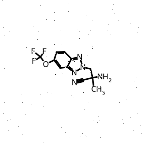 CC(N)(C#N)Cn1nc2ccc(OC(F)(F)F)cc2n1